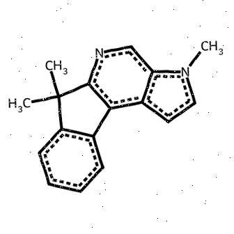 Cn1ccc2c3c(ncc21)C(C)(C)c1ccccc1-3